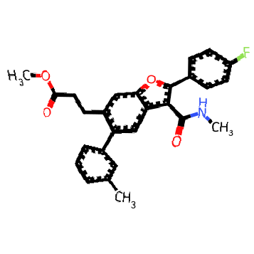 CNC(=O)c1c(-c2ccc(F)cc2)oc2cc(CCC(=O)OC)c(-c3cccc(C)c3)cc12